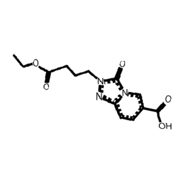 CCOC(=O)CCCn1nc2ccc(C(=O)O)cn2c1=O